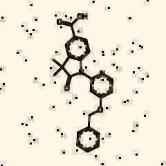 CC1(C)C(=O)N(c2cc(OCc3ccccc3)ccn2)c2ccc(C(=O)O)cc21